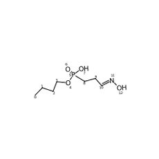 CCCCOP(=O)(O)CCC=NO